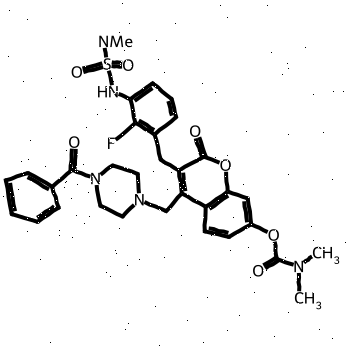 CNS(=O)(=O)Nc1cccc(Cc2c(CN3CCN(C(=O)c4ccccc4)CC3)c3ccc(OC(=O)N(C)C)cc3oc2=O)c1F